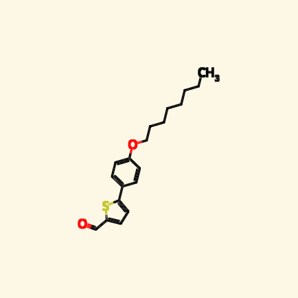 CCCCCCCCOc1ccc(-c2ccc(C=O)s2)cc1